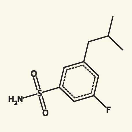 CC(C)Cc1cc(F)cc(S(N)(=O)=O)c1